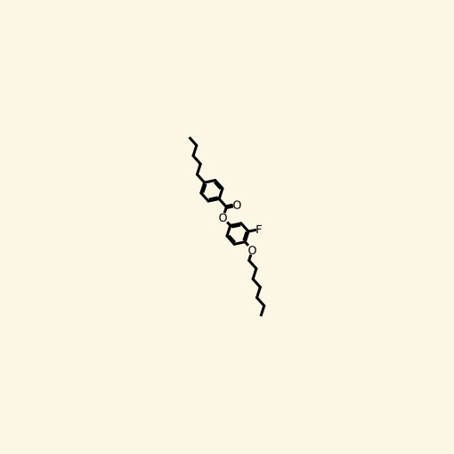 CCCCCCCOc1ccc(OC(=O)c2ccc(CCCCC)cc2)cc1F